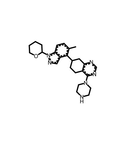 Cc1ccc2c(cnn2C2CCCCO2)c1C1CCc2c(ncnc2N2CCNCC2)C1